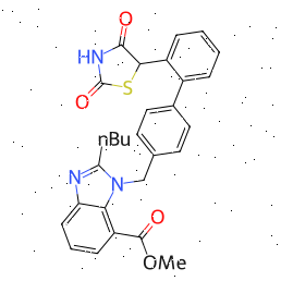 CCCCc1nc2cccc(C(=O)OC)c2n1Cc1ccc(-c2ccccc2C2SC(=O)NC2=O)cc1